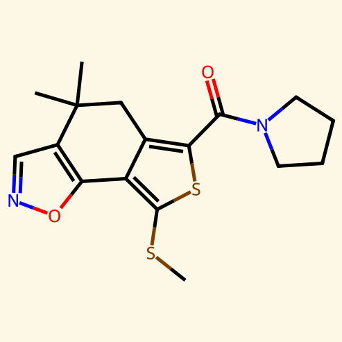 CSc1sc(C(=O)N2CCCC2)c2c1-c1oncc1C(C)(C)C2